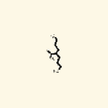 CCCCC(CCCC)C(N)I